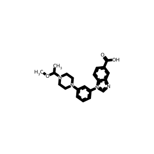 COC(C)N1CCN(c2cccc(-n3cnc4cc(C(=O)O)ccc43)c2)CC1